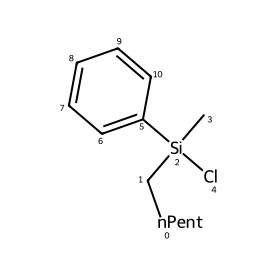 CCCCCC[Si](C)(Cl)c1ccccc1